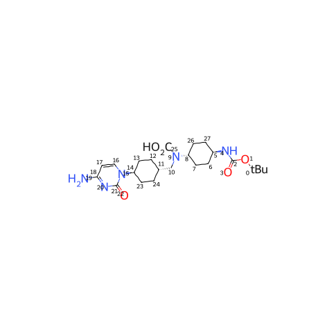 CC(C)(C)OC(=O)N[C@H]1CC[C@H](N(C[C@H]2CC[C@H](n3ccc(N)nc3=O)CC2)C(=O)O)CC1